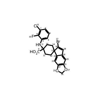 O=C(O)C1(Nc2cccc(Cl)c2F)CCC2(CC1)C(Br)=Cc1cc3c(cc12)OCO3